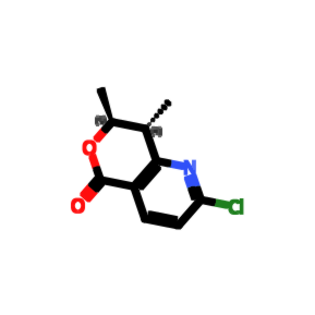 C[C@@H]1OC(=O)c2ccc(Cl)nc2[C@H]1C